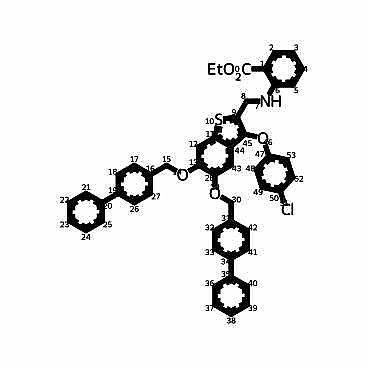 CCOC(=O)c1ccccc1NCc1sc2cc(OCc3ccc(-c4ccccc4)cc3)c(OCc3ccc(-c4ccccc4)cc3)cc2c1Oc1ccc(Cl)cc1